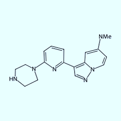 CNc1ccn2ncc(-c3cccc(N4CCNCC4)n3)c2c1